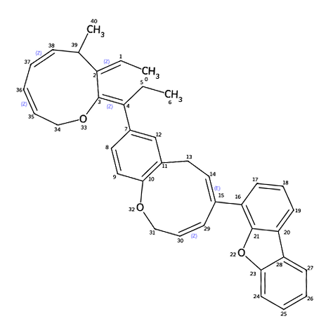 C/C=C1\C(=C(/CC)c2ccc3c(c2)C/C=C(c2cccc4c2oc2ccccc24)\C=C/CO3)OC/C=C\C=C/C1C